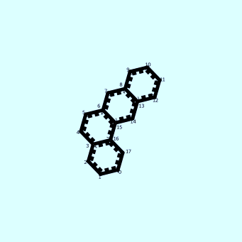 [c]1ccc2ccc3cc4ccccc4cc3c2c1